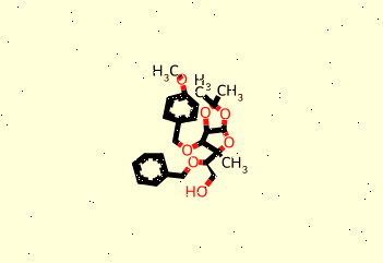 COc1ccc(COC2C3OC(C)(C)OC3O[C@]2(C)[C@@H](CO)OCc2ccccc2)cc1